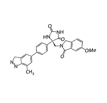 COc1ccc2c(c1)C(=O)N(C[C@@]1(c3ccc(-c4cc(C)c5c(c4)CN=N5)cc3)NC(=O)NC1=O)C2